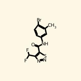 Cc1cc(NC(=O)c2snnc2C(F)F)ccc1Br